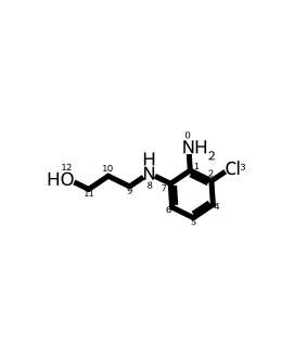 Nc1c(Cl)cccc1NCCCO